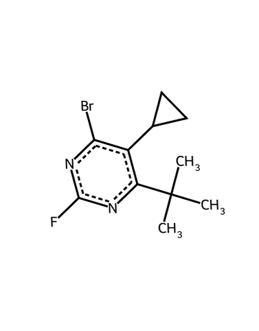 CC(C)(C)c1nc(F)nc(Br)c1C1CC1